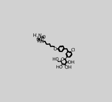 NS(=O)(=O)NCCCCCOc1ccc(Cc2cc([C@@H]3O[C@H](CO)[C@@H](O)[C@H](O)[C@H]3O)ccc2Cl)cc1